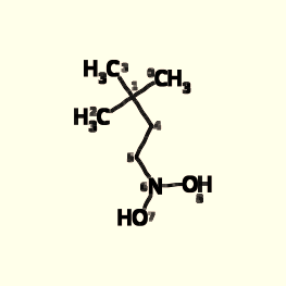 CC(C)(C)CCN(O)O